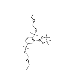 CCOCOC(C)(C)c1ccc(C(C)(C)OCOCC)c(B2OC(C)(C)C(C)(C)O2)c1